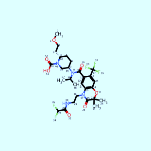 COCC[C@@H]1CC[C@@H](N(C(=O)c2cc3c(cc2C(F)(F)F)OC(C)(C)C(=O)N3CCNC(=O)C(F)F)C(C)C)CN1C(=O)O